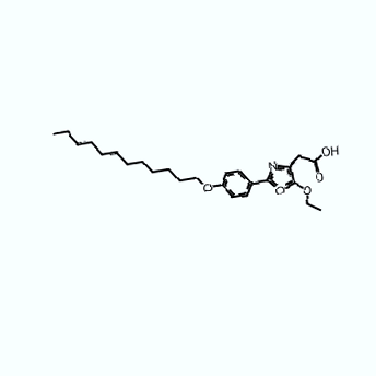 CCCCCCCCCCCCOc1ccc(-c2nc(CC(=O)O)c(OCC)o2)cc1